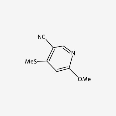 COc1cc(SC)c(C#N)cn1